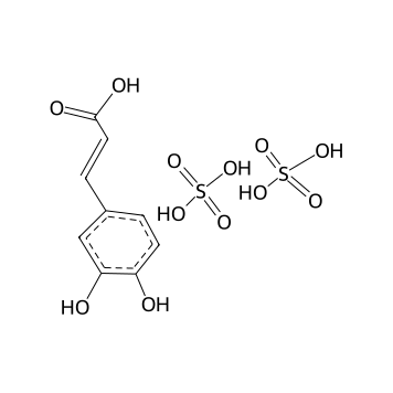 O=C(O)C=Cc1ccc(O)c(O)c1.O=S(=O)(O)O.O=S(=O)(O)O